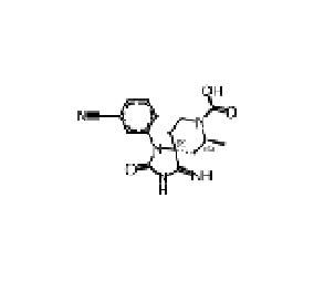 C[C@H]1C[C@]2(CCN1C(=O)O)C(=N)NC(=O)N2c1cccc(C#N)c1